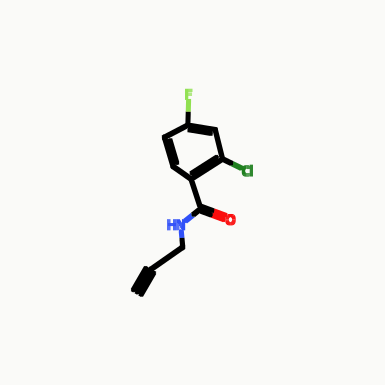 C#CCNC(=O)c1ccc(F)cc1Cl